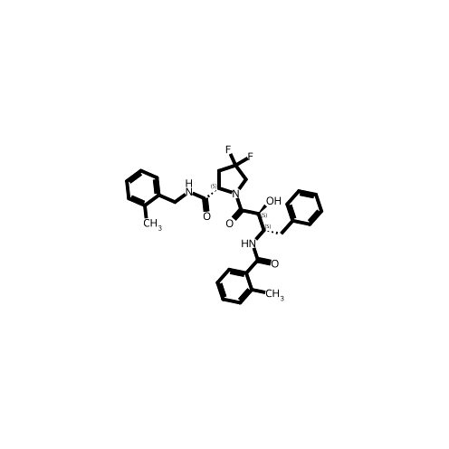 Cc1ccccc1CNC(=O)[C@@H]1CC(F)(F)CN1C(=O)[C@@H](O)[C@H](Cc1ccccc1)NC(=O)c1ccccc1C